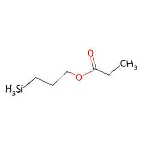 CCC(=O)OCCC[SiH3]